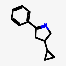 c1ccc(C2=NCC(C3CC3)C2)cc1